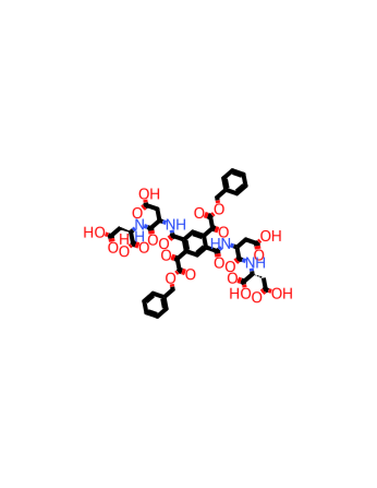 O=C(O)CC(NC(=O)c1cc(C(=O)C(=O)OCc2ccccc2)c(C(=O)NC(CC(=O)O)C(=O)N[C@H](CC(=O)O)C(=O)O)cc1C(=O)C(=O)OCc1ccccc1)C(=O)N[C@H](CC(=O)O)C(=O)O